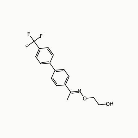 CC(=NOCCO)c1ccc(-c2ccc(C(F)(F)F)cc2)cc1